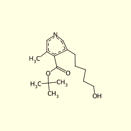 Cc1cncc(CCCCCO)c1C(=O)OC(C)(C)C